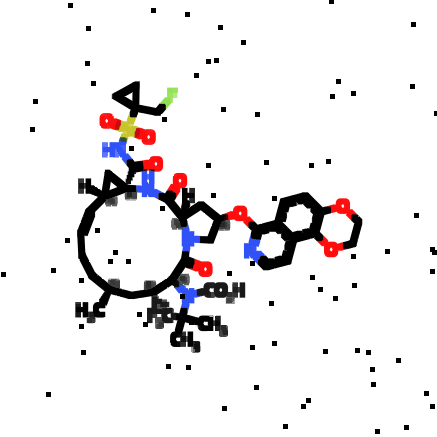 CC[C@@H]1C[C@@H](C)CCC=C[C@@H]2C[C@@]2(C(=O)NS(=O)(=O)C2(CF)CC2)NC(=O)[C@@H]2C[C@@H](Oc3nccc4c5c(ccc34)OCCO5)CN2C(=O)[C@H]1N(C(=O)O)C(C)(C)C(F)(F)F